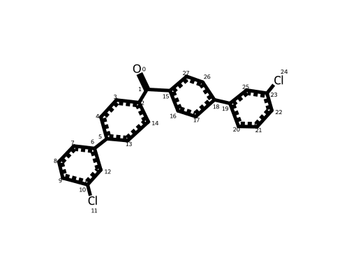 O=C(c1ccc(-c2cccc(Cl)c2)cc1)c1ccc(-c2cccc(Cl)c2)cc1